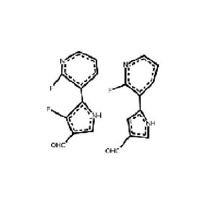 O=Cc1c[nH]c(-c2cccnc2F)c1.O=Cc1c[nH]c(-c2cccnc2F)c1F